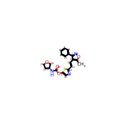 Cc1onc(-c2ccccc2)c1/C=C/c1ncc(OC(=O)N[C@H]2CCOC2)s1